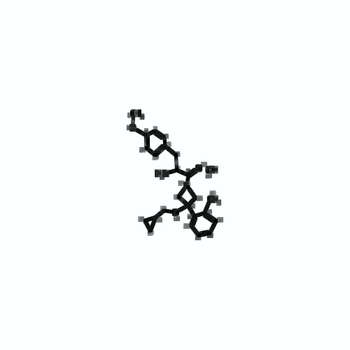 COc1ccc(CC(N)C(=O)N2CC(OCC3CC3)(c3ccccc3C)C2)cc1.Cl